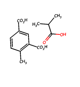 CC(C)C(=O)O.Cc1ccc(C(=O)O)cc1C(=O)O